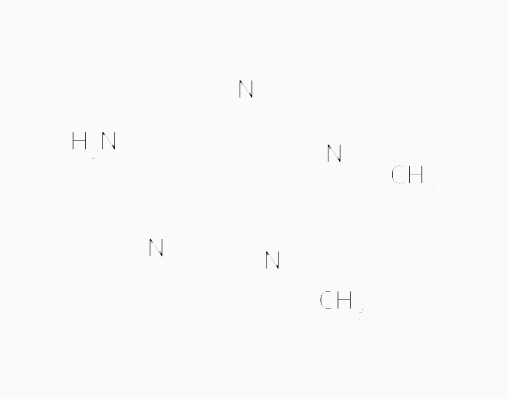 CN1CN=C(N)c2ncn(C)c21